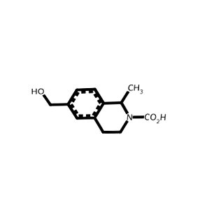 CC1c2ccc(CO)cc2CCN1C(=O)O